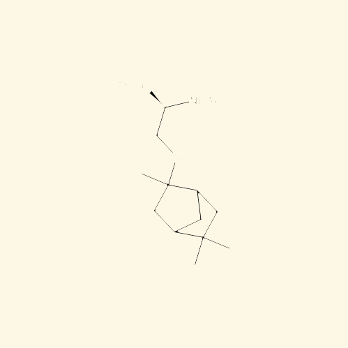 CCOC(=O)[C@H](CSC1(C)CC2CC1CC2(C)C)NC(C)=O